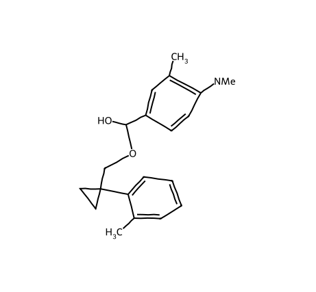 CNc1ccc(C(O)OCC2(c3ccccc3C)CC2)cc1C